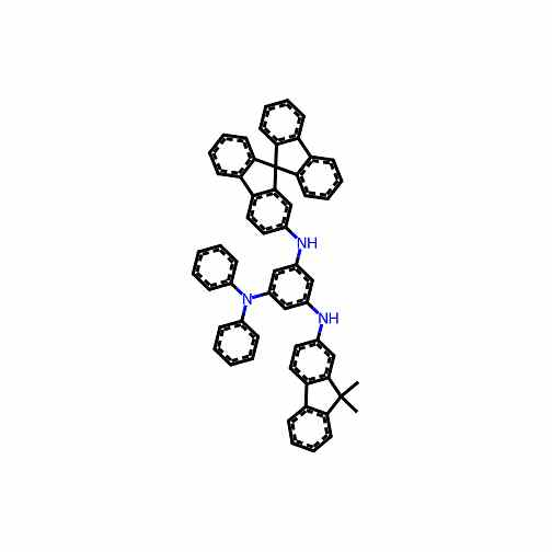 CC1(C)c2ccccc2-c2ccc(Nc3cc(Nc4ccc5c(c4)C4(c6ccccc6-c6ccccc64)c4ccccc4-5)cc(N(c4ccccc4)c4ccccc4)c3)cc21